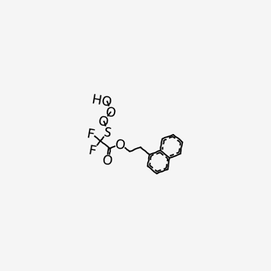 O=C(OCCc1cccc2ccccc12)C(F)(F)SOOO